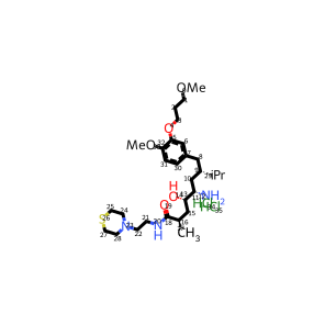 COCCCOc1cc(C[C@@H](C[C@H](N)[C@@H](O)C[C@@H](C)C(=O)NCCN2CCSCC2)C(C)C)ccc1OC.Cl.Cl